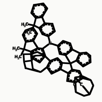 CC1(C)c2ccccc2-c2ccc(N(c3ccc4c(c3)C3(c5ccccc5-4)c4cc5c(cc4-c4cc6c(cc43)C3CC4CC7CC6CC74C3)C3CC4CC(C3)CC5C4)c3cccc4c3-c3ccccc3C4(C)C)cc21